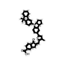 Cc1cc(-c2ccc3c(c2)C2CCCC2N3c2ccc3c(c2)-c2ccccc2C3(C)C)sc1/C=C1/Cc2cc(C(=O)O)ccc2C1=O